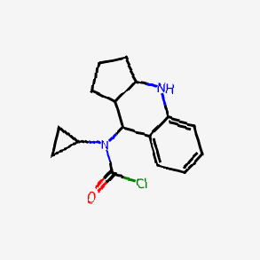 O=C(Cl)N(C1CC1)C1c2ccccc2NC2CCCC21